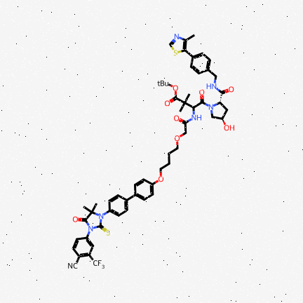 Cc1ncsc1-c1ccc(CNC(=O)[C@@H]2C[C@@H](O)CN2C(=O)C(NC(=O)COCCCCOc2ccc(-c3ccc(N4C(=S)N(c5ccc(C#N)c(C(F)(F)F)c5)C(=O)C4(C)C)cc3)cc2)C(C)(C)C(=O)OC(C)(C)C)cc1